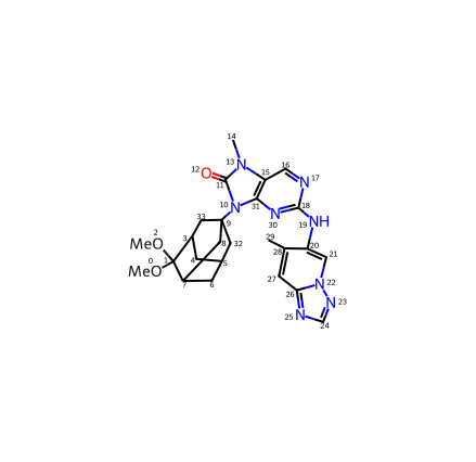 COC1(OC)C2CC3CC1CC(n1c(=O)n(C)c4cnc(Nc5cn6ncnc6cc5C)nc41)(C3)C2